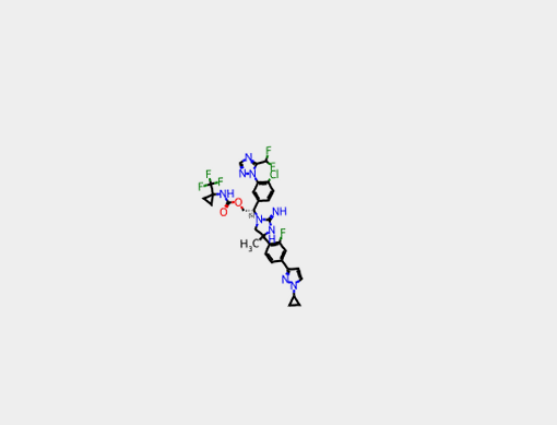 C[C@@]1(c2ccc(-c3ccn(C4CC4)n3)cc2F)CN([C@H](COC(=O)NC2(C(F)(F)F)CC2)c2ccc(Cl)c(-n3ncnc3C(F)F)c2)C(=N)N1